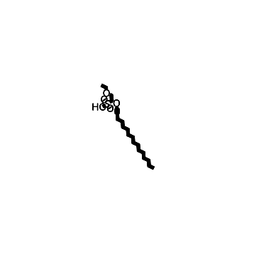 CCCCCCCCCCCCCCC#COC(COCC)S(=O)(=O)O